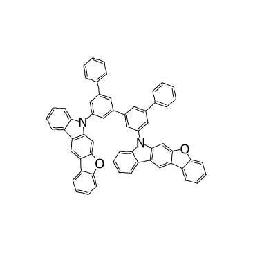 c1ccc(-c2cc(-c3cc(-c4ccccc4)cc(-n4c5ccccc5c5cc6c(cc54)oc4ccccc46)c3)cc(-n3c4ccccc4c4cc5c(cc43)oc3ccccc35)c2)cc1